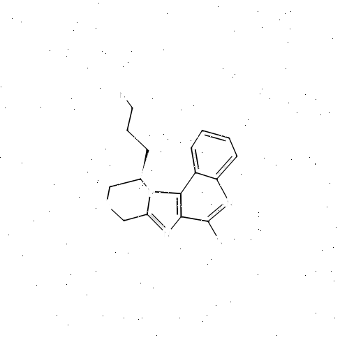 NCCC[C@@H]1COCc2nc3c(N)nc4ccccc4c3n21